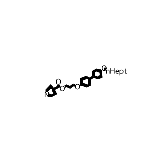 CCCCCCCOc1ccc(-c2ccc(OCCCOC(=O)c3ccncc3)cc2)cc1